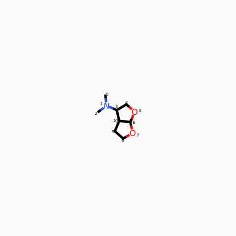 CN(C)C1COC2OCCC21